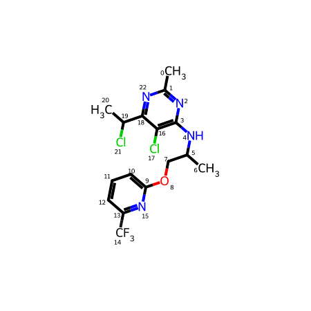 Cc1nc(NC(C)COc2cccc(C(F)(F)F)n2)c(Cl)c(C(C)Cl)n1